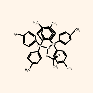 CC(=O)[O][Pd]([PH](c1ccc(C)cc1)(c1ccc(C)cc1)c1ccc(C)cc1)[PH](c1ccc(C)cc1)(c1ccc(C)cc1)c1ccc(C)cc1